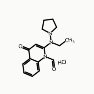 CCN(c1cc(=O)c2ccccc2n1C=O)N1CCCC1.Cl